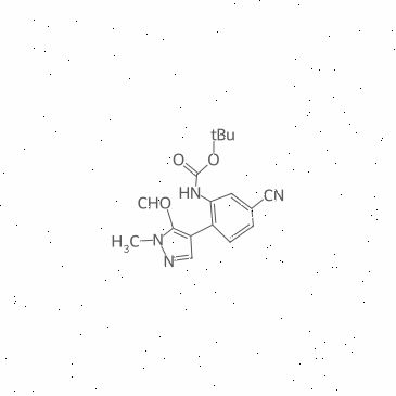 Cn1ncc(-c2ccc(C#N)cc2NC(=O)OC(C)(C)C)c1C=O